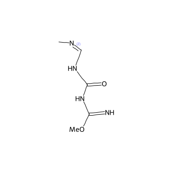 C/N=C\NC(=O)NC(=N)OC